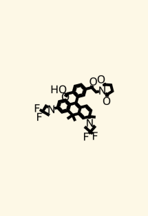 CC1(C)C2=CC(C)(N3CC(F)(F)C3)C=CC2=C(c2cc(C(=O)CN3C(=O)CCC3=O)ccc2C(=O)O)c2ccc(N3CC(F)(F)C3)cc21